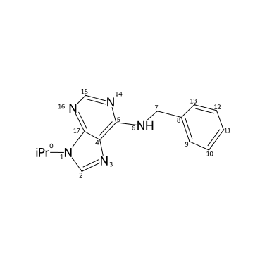 CC(C)n1cnc2c(NCc3ccccc3)ncnc21